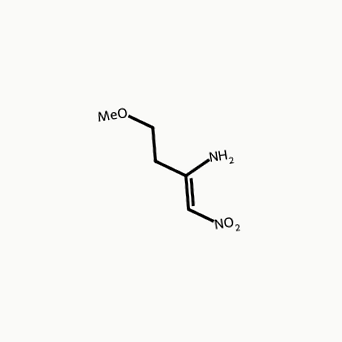 COCCC(N)=C[N+](=O)[O-]